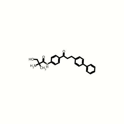 CC(N)(CO)C(=O)Nc1ccc(C(=O)CCc2ccc(-c3ccccc3)cc2)cc1